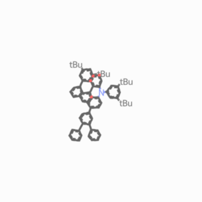 CC(C)(C)c1cc(-c2cccc3cccc(-c4ccccc4N(c4ccc(-c5ccc(-c6ccccc6)c(-c6ccccc6)c5)cc4)c4cc(C(C)(C)C)cc(C(C)(C)C)c4)c23)cc(C(C)(C)C)c1